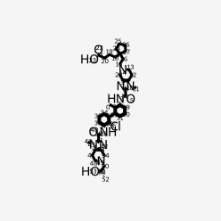 Cc1c(NC(=O)c2nc3c(n2C)CCN(CCC2(CCCC(=O)O)CCCC2)C3)cccc1-c1cccc(NC(=O)c2nc3c(n2C)CCN(C[C@H](C)O)C3)c1Cl